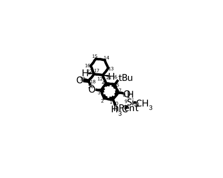 CCCCCc1cc2c(c(C(C)(C)C)c1O[SiH](C)C)[C@H]1CCCC[C@H]1C(=O)O2